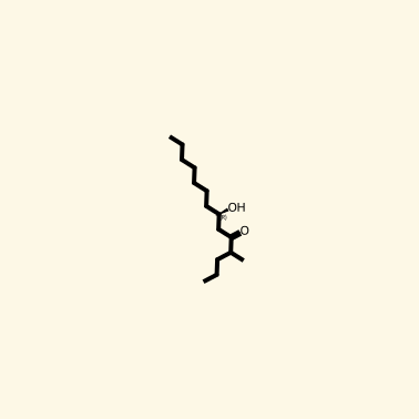 CCCCCCC[C@@H](O)CC(=O)C(C)CCC